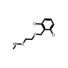 CNOCCOCc1c(Cl)cccc1Cl